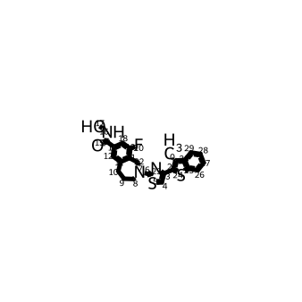 Cc1c(-c2csc(N3CCCc4cc(C(=O)NO)cc(F)c4C3)n2)sc2ccccc12